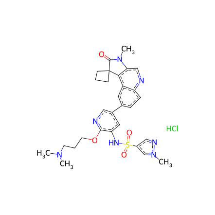 CN(C)CCCOc1ncc(-c2ccc3ncc4c(c3c2)C2(CCC2)C(=O)N4C)cc1NS(=O)(=O)c1cnn(C)c1.Cl